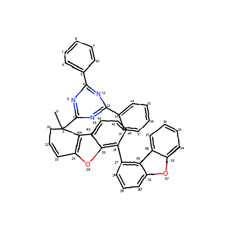 CC1(c2nc(-c3ccccc3)nc(-c3ccccc3)n2)CC=Cc2oc3c(-c4cccc5oc6ccccc6c45)cccc3c21